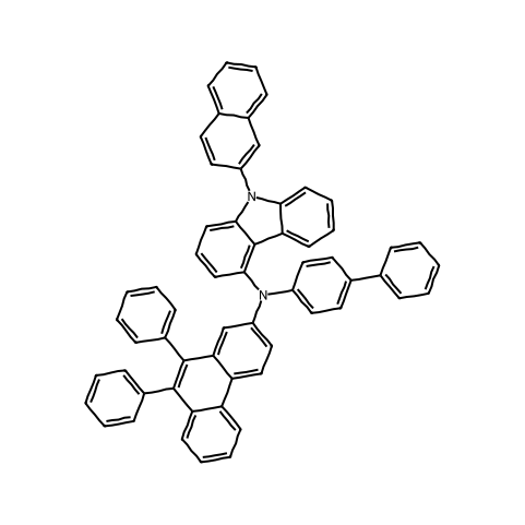 c1ccc(-c2ccc(N(c3ccc4c(c3)c(-c3ccccc3)c(-c3ccccc3)c3ccccc34)c3cccc4c3c3ccccc3n4-c3ccc4ccccc4c3)cc2)cc1